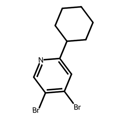 Brc1cnc(C2CCCCC2)cc1Br